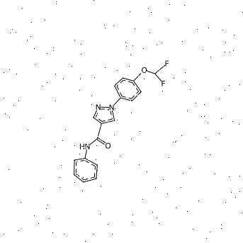 O=C(Nc1ccccc1)c1cnn(-c2ccc(OC(F)F)cc2)c1